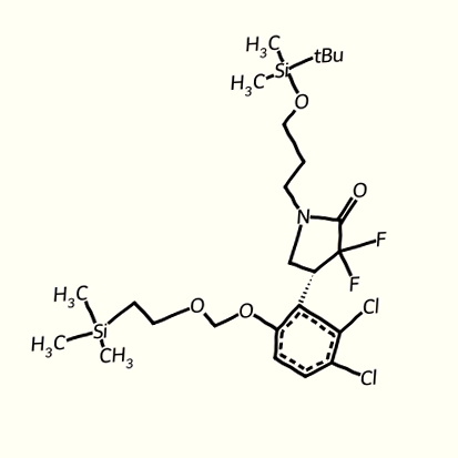 CC(C)(C)[Si](C)(C)OCCCN1C[C@@H](c2c(OCOCC[Si](C)(C)C)ccc(Cl)c2Cl)C(F)(F)C1=O